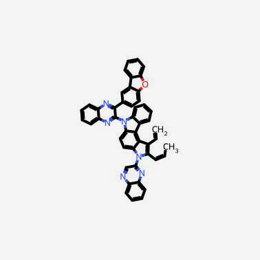 C=Cc1c(/C=C\C)n(-c2cnc3ccccc3n2)c2ccc3c(c4ccccc4n3-c3nc4ccccc4nc3-c3ccc4oc5ccccc5c4c3)c12